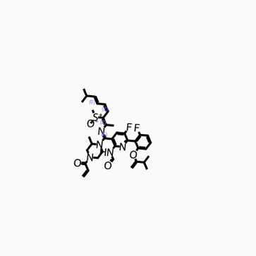 C=CC(=O)N1CCN(/C(=N/C(C)=C(/C=C\C=C\C(C)C)[S+](C)[O-])c2cc(F)c(-c3c(F)cccc3OC(=C)C(C)C)nc2NC=O)C(C)C1